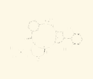 Cc1cccc(C)c1-c1cc2nc(n1)NS(=O)(=O)c1cccc(c1)C(=O)N1C[C@@H](CNC[C@@H]1CC(C)(C)C)O2